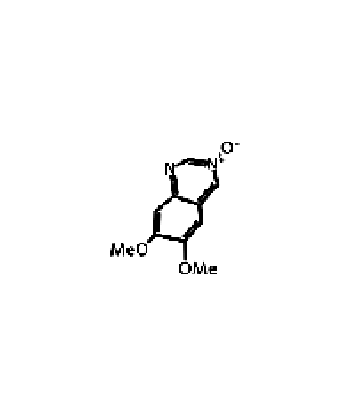 COc1cc2c[n+]([O-])cnc2cc1OC